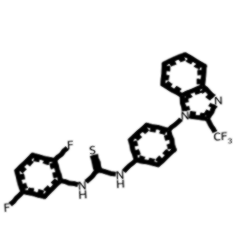 Fc1ccc(F)c(NC(=S)Nc2ccc(-n3c(C(F)(F)F)nc4ccccc43)cc2)c1